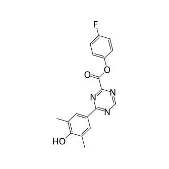 Cc1cc(-c2ncnc(C(=O)Oc3ccc(F)cc3)n2)cc(C)c1O